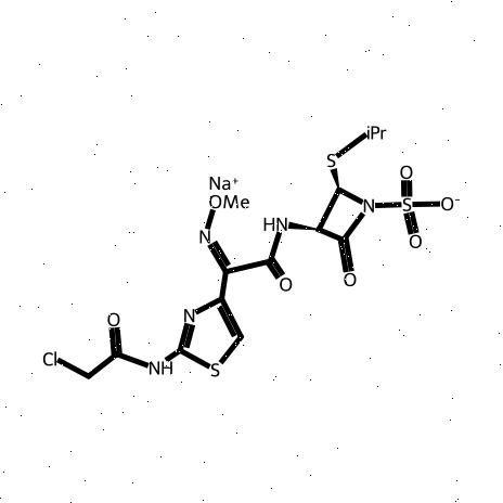 CON=C(C(=O)N[C@@H]1C(=O)N(S(=O)(=O)[O-])[C@@H]1SC(C)C)c1csc(NC(=O)CCl)n1.[Na+]